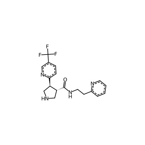 O=C(NCCc1ccccn1)[C@@H]1CNC[C@H]1c1ccc(C(F)(F)F)cn1